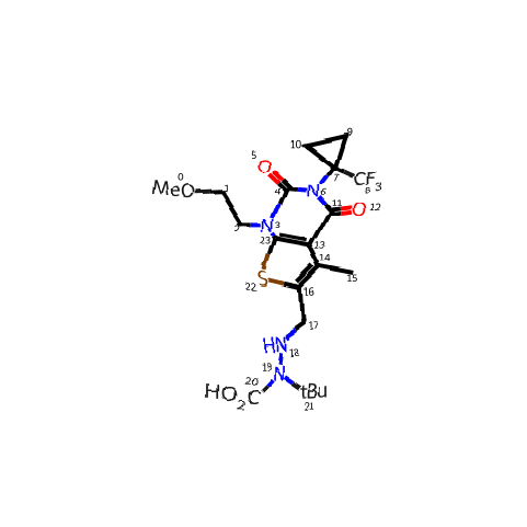 COCCn1c(=O)n(C2(C(F)(F)F)CC2)c(=O)c2c(C)c(CNN(C(=O)O)C(C)(C)C)sc21